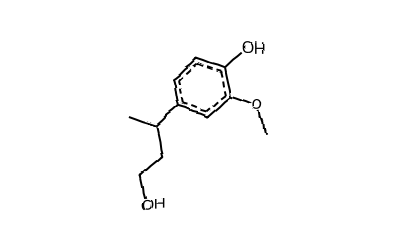 COc1cc(C(C)CCO)ccc1O